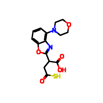 O=C(S)CC(C(=O)O)c1nc2c(N3CCOCC3)cccc2o1